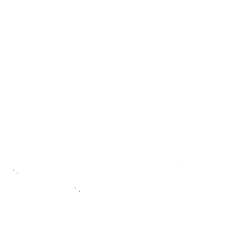 Cc1cc2cc(OCC[N+]34CCN(CC3)CC4)ccc2s1